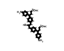 CCCCCCCCCCCCC(c1ccc(N)cc1)c1ccc(CC(CCCC)Cc2ccc(C(CCCCCCCCCCCC)c3ccc(N)cc3)cc2)cc1